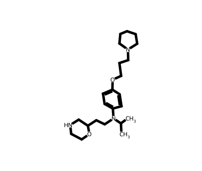 CC(C)N(CCC1CNCCO1)c1ccc(OCCCN2CCCCC2)cc1